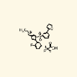 CNCc1cc(-c2ccccc2F)n(S(=O)(=O)c2cccc(-c3ccco3)c2)c1.O=C(O)C(F)(F)F